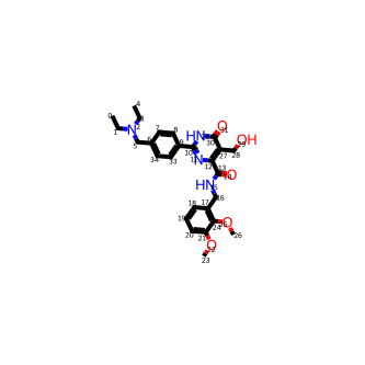 CCN(CC)Cc1ccc(-c2nc(C(=O)NCc3cccc(OC)c3OC)c(CO)c(=O)[nH]2)cc1